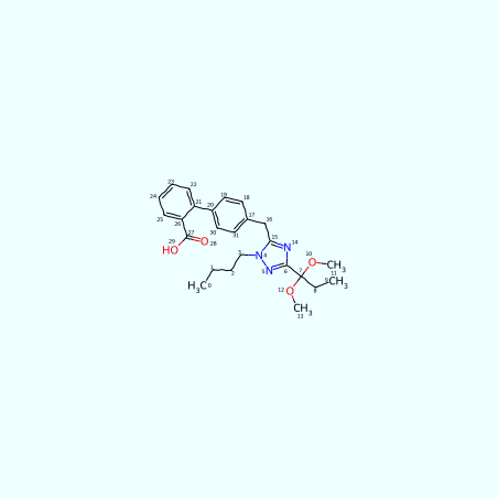 CCCCn1nc(C(CC)(OC)OC)nc1Cc1ccc(-c2ccccc2C(=O)O)cc1